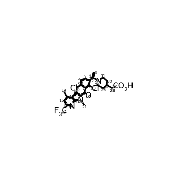 C=C(c1ccc(Cl)c(C(=O)c2cc3c(C)cc(C(F)(F)F)nc3n2C)c1Cl)N1CCC(CC(=O)O)CC1